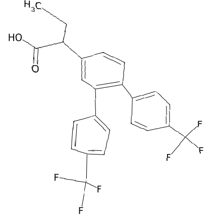 CCC(C(=O)O)c1ccc(-c2ccc(C(F)(F)F)cc2)c(-c2ccc(C(F)(F)F)cc2)c1